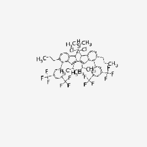 CCCc1ccc2c(c1-c1cc(C(F)(F)F)cc(C(F)(F)F)c1)C=C(CC(C)C)[CH]2[Zr]([Cl])([Cl])([CH]1C(CC(C)C)=Cc2c1ccc(CCC)c2-c1cc(C(F)(F)F)cc(C(F)(F)F)c1)[SiH](C)C